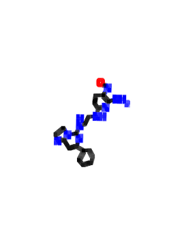 Nc1nc(NCCNc2nc(-c3ccccc3)cc3nccn23)ccc1N=O